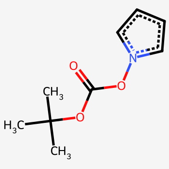 CC(C)(C)OC(=O)On1cccc1